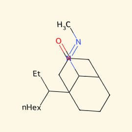 CCCCCCC(CC)C12CCCC(CC(=O)C1)C2N=NC